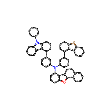 c1ccc(-n2c3ccccc3c3c(-c4cccc(N(c5cccc(-c6cccc7sc8ccccc8c67)c5)c5cccc6oc7c8ccccc8ccc7c56)c4)cccc32)cc1